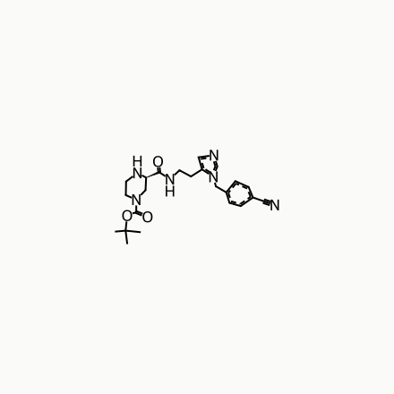 CC(C)(C)OC(=O)N1CCN[C@@H](C(=O)NCCc2cncn2Cc2ccc(C#N)cc2)C1